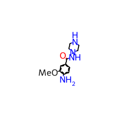 COc1cc(C(=O)NN2CCNCC2)ccc1N